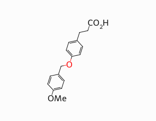 COc1ccc(COc2ccc(CCC(=O)O)cc2)cc1